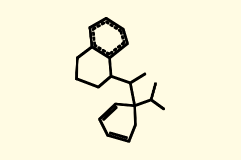 CC(C)C1(C(C)C2CCCc3ccccc32)C=CC=CC1